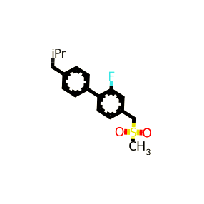 CC(C)Cc1ccc(-c2ccc(CS(C)(=O)=O)cc2F)cc1